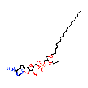 C=CCO[C@H](COCCCCCCCCCCCCCCCCCC)COP(=O)(O)OC[C@H]1O[C@@H](c2ccc3c(N)ncnn23)[C@H](O)[C@@H]1O